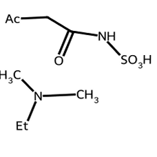 CC(=O)CC(=O)NS(=O)(=O)O.CCN(C)C